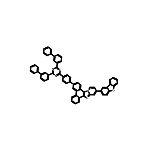 c1ccc(-c2cccc(-c3nc(-c4ccc(-c5ccc6c(c5)c5ccccc5c5nc7cc(-c8ccc9oc%10ccccc%10c9c8)ccn7c65)cc4)nc(-c4cccc(-c5ccccc5)c4)n3)c2)cc1